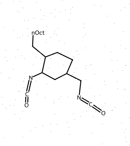 CCCCCCCCCC1CCC(CN=C=O)CC1N=C=O